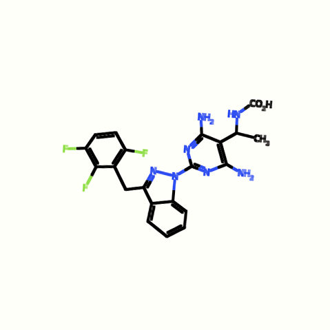 CC(NC(=O)O)c1c(N)nc(-n2nc(Cc3c(F)ccc(F)c3F)c3ccccc32)nc1N